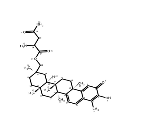 CC1=C(O)C(=O)C=C2C1=CC=C1[C@@]2(C)CC[C@@]2(C)[C@@H]3C[C@](C)(COC(=O)C(N)CC(N)=O)CC[C@@]3(C)CC[C@]12C